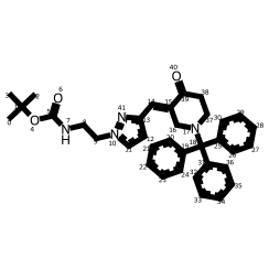 CC(C)(C)OC(=O)NCCn1ccc(/C=C2\CN(C(c3ccccc3)(c3ccccc3)c3ccccc3)CCC2=O)n1